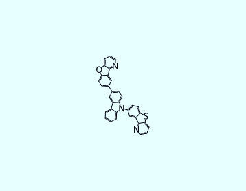 c1cnc2c(c1)oc1ccc(-c3ccc4c(c3)c3ccccc3n4-c3ccc4sc5cccnc5c4c3)cc12